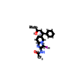 CNC(=O)/C=C(/c1ccccc1)c1ccc2nc(NC(=O)C(F)(F)F)c(I)n2c1